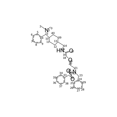 CN(C)C(c1ccccc1)C1CCC(CNC(=O)COCCN(Cc2ccccc2)S(=O)(=O)c2ccccc2)CC1